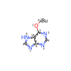 CCC(C)Oc1ncnc2nc[nH]c12